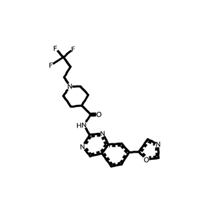 O=C(Nc1ncc2ccc(-c3cnco3)cc2n1)C1CCN(CCC(F)(F)F)CC1